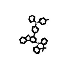 Cc1ccc(N(C2=CCCC=C2)c2ccc(-c3cc(N4c5ccccc5C(C)(C)c5ccccc54)cc4c3Cc3ccccc3-4)cc2)cc1